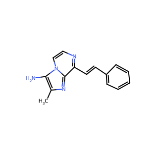 Cc1nc2c(C=Cc3ccccc3)nccn2c1N